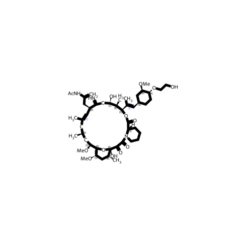 C=C(C[C@@H]1/C=C(\C)C[C@H](C)C[C@H](OC)[C@H]2O[C@@](O)(C(=O)C(=O)N3CCCC[C@H]3C(=O)O[C@H](/C(C)=C/[C@@H]3CC[C@@H](OCCO)[C@H](OC)C3)[C@H](C)[C@@H](O)CC1=N)[C@H](C)C[C@@H]2OC)NC(C)=O